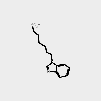 O=S(=O)(O)CCCCCCn1cnc2ccccc21